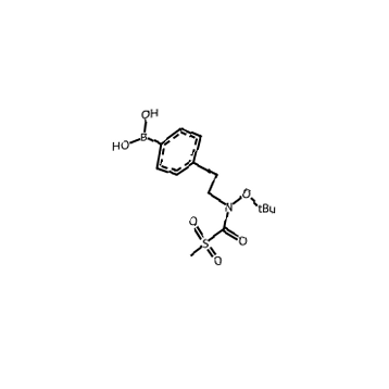 CC(C)(C)ON(CCc1ccc(B(O)O)cc1)C(=O)S(C)(=O)=O